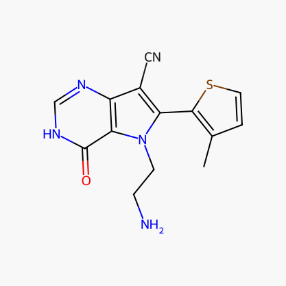 Cc1ccsc1-c1c(C#N)c2nc[nH]c(=O)c2n1CCN